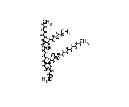 CCCCCCCCCCCOC(=O)CCC1CN(CCOC)CCC1CCCCCC(=O)OC(CCCCCCCC)CCCCCCCC